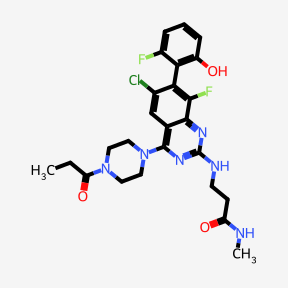 CCC(=O)N1CCN(c2nc(NCCC(=O)NC)nc3c(F)c(-c4c(O)cccc4F)c(Cl)cc23)CC1